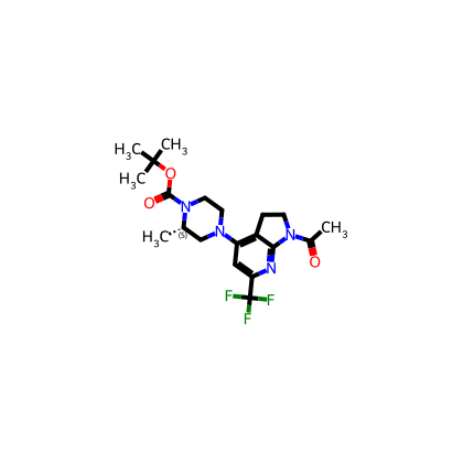 CC(=O)N1CCc2c(N3CCN(C(=O)OC(C)(C)C)[C@@H](C)C3)cc(C(F)(F)F)nc21